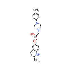 C=C1C=Cc2cc(OC[C@@H](O)CN3CCN(c4ccc(C)cc4)CC3)ccc2N1